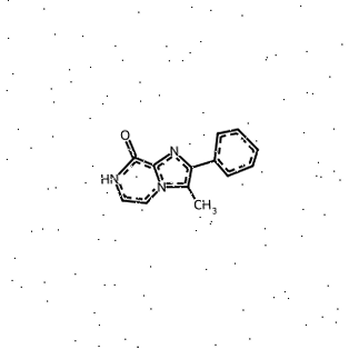 Cc1c(-c2ccccc2)nc2c(=O)[nH]ccn12